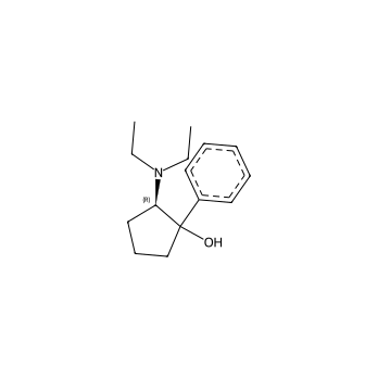 CCN(CC)[C@@H]1CCCC1(O)c1ccccc1